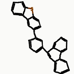 c1cc(-c2ccc3sc4ccccc4c3c2)cc(-c2cc3ccccc3c3ccccc23)c1